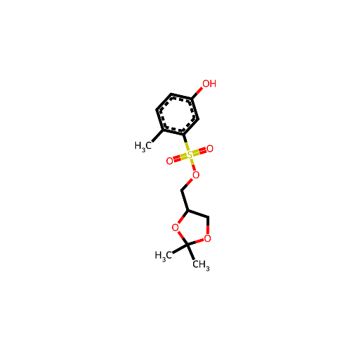 Cc1ccc(O)cc1S(=O)(=O)OCC1COC(C)(C)O1